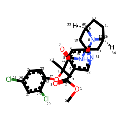 COC(=O)c1ccc(N2[C@@H]3CC[C@H]2C[C@@H](NC(=O)C(C)(C)Oc2ccc(Cl)cc2Cl)C3)nc1